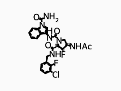 CC(=O)N[C@@H]1CN(C(=O)Nc2cn(C(N)=O)c3ccccc23)[C@H](C(=O)NCc2cccc(Cl)c2F)[C@H]1F